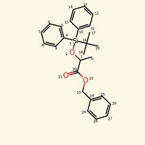 CC(O[Si](c1ccccc1)(c1ccccc1)C(C)(C)C)C(=O)OCc1ccccc1